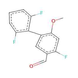 COc1cc(F)c(C=O)cc1-c1c(F)cccc1F